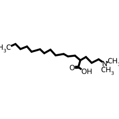 CCCCCCCCCCCCC(CCCN(C)C)C(=O)O